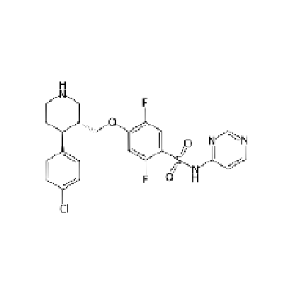 O=S(=O)(Nc1ccncn1)c1cc(F)c(OC[C@H]2CNCC[C@@H]2c2ccc(Cl)cc2)cc1F